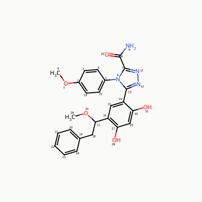 COc1ccc(-n2c(C(N)=O)nnc2-c2cc(C(Cc3ccccc3)OC)c(O)cc2O)cc1